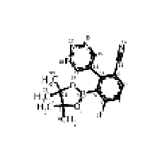 CC1(C)OB(c2c(F)ccc(C#N)c2-c2cnnnc2)OC1(C)C